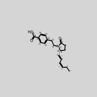 CC/C=C\C=C\[C@H]1CCC(=O)N1CCc1ccc(C(=O)O)cc1